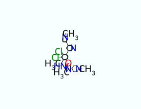 CC(NC(=O)N(C)C1CCN(C)CC1)c1ccc(-c2cncc(-c3ccn(C)c3)c2)c(Cl)c1Cl